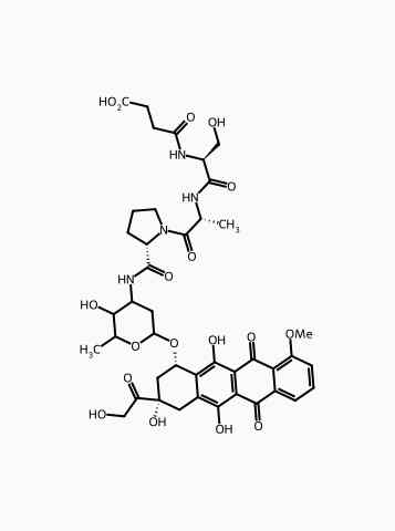 COc1cccc2c1C(=O)c1c(O)c3c(c(O)c1C2=O)C[C@@](O)(C(=O)CO)C[C@@H]3OC1CC(NC(=O)[C@@H]2CCCN2C(=O)[C@@H](C)NC(=O)[C@H](CO)NC(=O)CCC(=O)O)C(O)C(C)O1